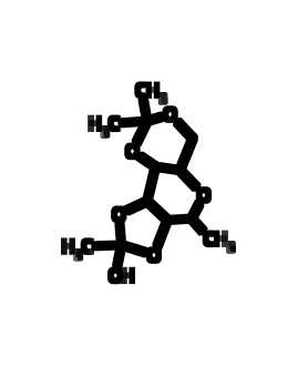 CC1OC2COC(C)(C)OC2C2OC(C)(O)OC12